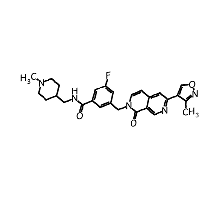 Cc1nocc1-c1cc2ccn(Cc3cc(F)cc(C(=O)NCC4CCN(C)CC4)c3)c(=O)c2cn1